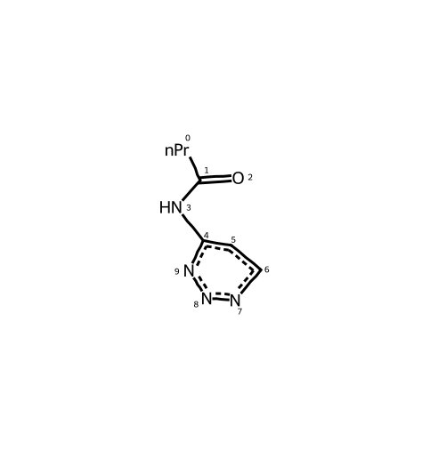 CCCC(=O)Nc1ccnnn1